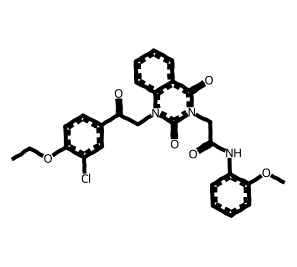 CCOc1ccc(C(=O)Cn2c(=O)n(CC(=O)Nc3ccccc3OC)c(=O)c3ccccc32)cc1Cl